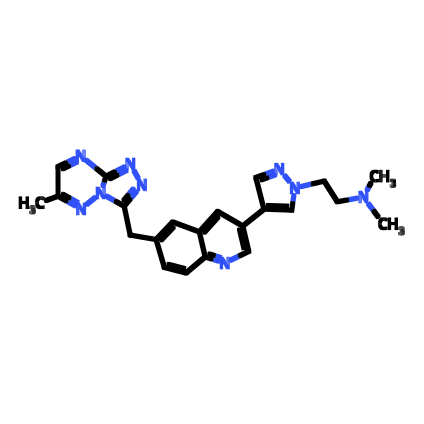 Cc1cnc2nnc(Cc3ccc4ncc(-c5cnn(CCN(C)C)c5)cc4c3)n2n1